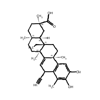 C#CC1C=C2[C@@](C)(CC[C@@]3(CC)[C@@H]4C[C@](C)(C(=O)O)CC[C@]4(C)CC[C@]23C)c2cc(O)c(O)c(C)c21